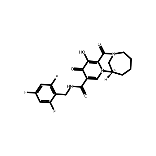 O=C(NCc1c(F)cc(F)cc1F)c1cn2c(c(O)c1=O)C(=O)N1CCCC[C@H]2C1